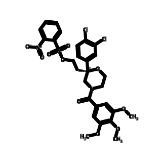 COc1cc(C(=O)N2CCO[C@](CCOS(=O)(=O)c3ccccc3[N+](=O)[O-])(c3ccc(Cl)c(Cl)c3)C2)cc(OC)c1OC